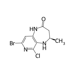 C[C@@H]1CC(=O)Nc2cc(Br)nc(Cl)c2N1